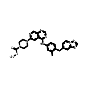 Cc1cc(Nc2ncnc3cnc(N4CCN(C(=O)OC(C)(C)C)CC4)cc23)ccc1Cc1ccn2ncnc2c1